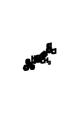 CC(CC(=O)CCN1C(=O)c2ccccc2C1=O)C(O)N1CCN(c2cc(Cl)cc(Cl)c2)CC1